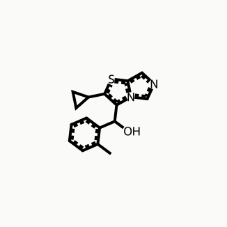 Cc1ccccc1C(O)c1c(C2CC2)sc2cncn12